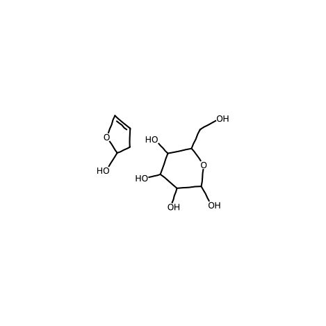 OC1CC=CO1.OCC1OC(O)C(O)C(O)C1O